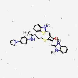 C=C(CCCSC1=C(C=C2N(CC)c3ccccc3N2CC)C(=O)/C1=C/c1sc2c([n+]1CC)=CCCC=2)Nc1ccc(N2CCCC2)cc1